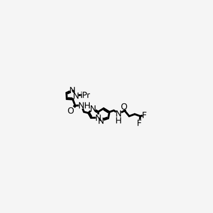 CC(C)n1nccc1C(=O)NCc1cn2ncc(CNC(=O)CCC(F)F)cc2n1